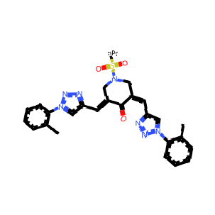 CCCS(=O)(=O)N1CC(=Cc2cn(-c3ccccc3C)nn2)C(=O)C(=Cc2cn(-c3ccccc3C)nn2)C1